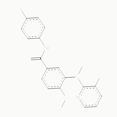 CC(C)Oc1ccc(C(=O)Nc2ccc(C(C)(C)C)cc2)cc1N(C)c1ncccc1Cl